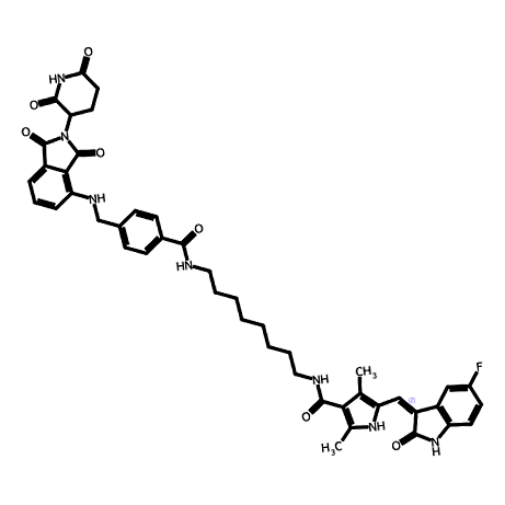 Cc1[nH]c(/C=C2\C(=O)Nc3ccc(F)cc32)c(C)c1C(=O)NCCCCCCCCNC(=O)c1ccc(CNc2cccc3c2C(=O)N(C2CCC(=O)NC2=O)C3=O)cc1